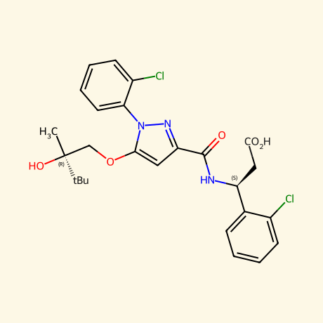 CC(C)(C)[C@@](C)(O)COc1cc(C(=O)N[C@@H](CC(=O)O)c2ccccc2Cl)nn1-c1ccccc1Cl